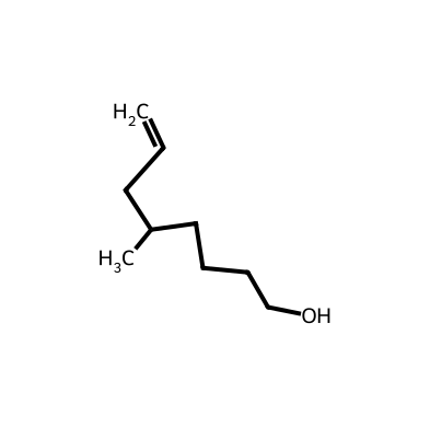 C=CCC(C)CCCCO